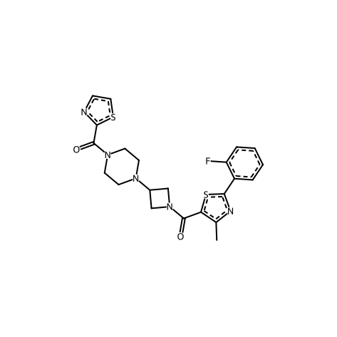 Cc1nc(-c2ccccc2F)sc1C(=O)N1CC(N2CCN(C(=O)c3nccs3)CC2)C1